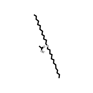 CC(=O)[O-].CCCCCCCCCCCCCOCCCCCCCCCCCCC.[K+]